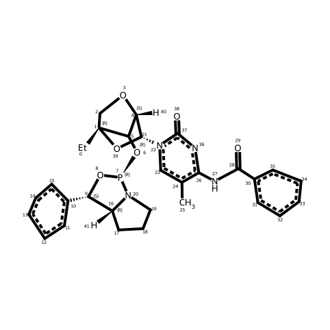 CC[C@@]12CO[C@@H](C1O[P@]1O[C@@H](c3ccccc3)[C@H]3CCCN31)[C@H](n1cc(C)c(NC(=O)c3ccccc3)nc1=O)O2